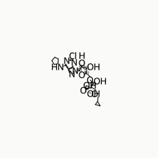 O=P(O)(O)C(COCC1CC1)[C@H](O)OC[C@H]1O[C@@H](n2ncc3c(NC4CCCC4)nc(Cl)nc32)[C@H](O)[C@@H]1O